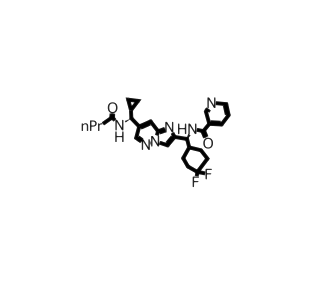 CCCC(=O)N[C@@H](c1cnn2cc([C@@H](NC(=O)c3cccnc3)C3CCC(F)(F)CC3)nc2c1)C1CC1